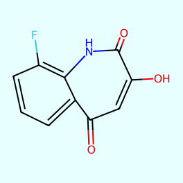 O=c1[nH]c2c(F)cccc2c(=O)cc1O